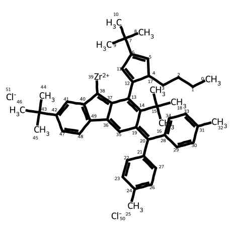 CCCCC1C=C(C(C)(C)C)C=C1c1c(C(C)(C)C)c(=C(c2ccc(C)cc2)c2ccc(C)cc2)cc2c1=[C]([Zr+2])c1cc(C(C)(C)C)ccc1-2.[Cl-].[Cl-]